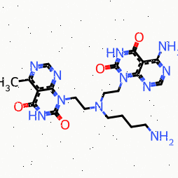 Cc1ncnc2c1c(=O)[nH]c(=O)n2CCN(CCCCN)CCn1c(=O)[nH]c(=O)c2c(N)ncnc21